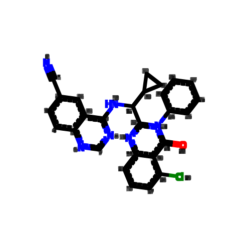 N#Cc1ccc2ncnc(NC(c3nc4cccc(Cl)c4c(=O)n3-c3ccccc3)C3CC3)c2c1